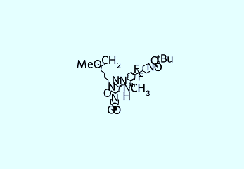 C=CC(CCCCCn1c(=O)c(N2CCS(=O)(=O)CC2)cc2c(N[C@H](C)c3cccc(C(F)(F)C4CCN(C(=O)OC(C)(C)C)CC4)c3)ncnc21)OC